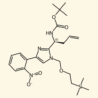 C=CC[C@H](NC(=O)OC(C)(C)C)c1nc(-c2ccccc2[N+](=O)[O-])cn1COCC[Si](C)(C)C